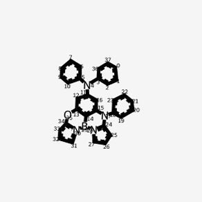 c1ccc(N(c2ccccc2)c2cc3c4c(c2)N(c2ccccc2)c2cccn2B4n2cccc2O3)cc1